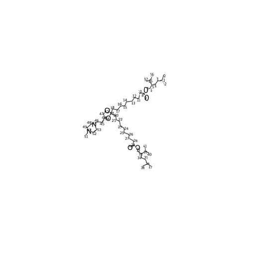 CC(C)CCC(COC(=O)CCCCCCCCCC1(CCCCCCCCCC(=O)OCC(CCC(C)C)C(C)C)OCC(CCN2CCN(C)CC2)O1)C(C)C